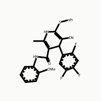 CCCSC1=C(C#N)C(c2cc(F)c(F)cc2F)C(C(=O)Nc2ccccc2OC)=C(C)N1